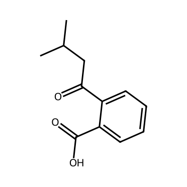 CC(C)CC(=O)c1ccccc1C(=O)O